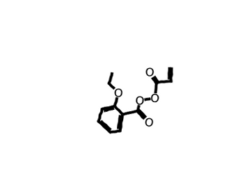 C=CC(=O)OOC(=O)c1ccccc1OCC